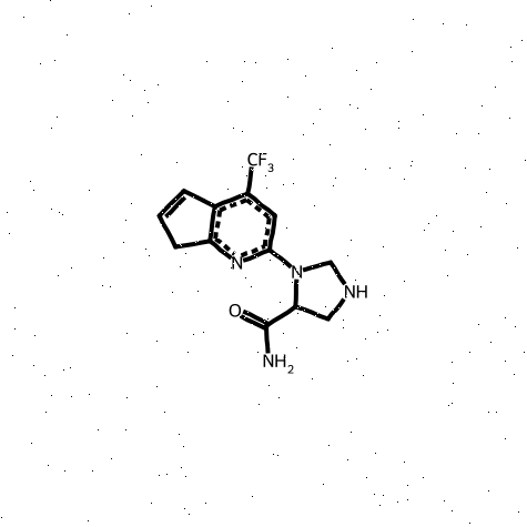 NC(=O)C1CNCN1c1cc(C(F)(F)F)c2c(n1)CC=C2